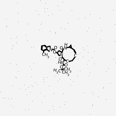 Cc1cccc2c1CN(C(=O)OC1CC3C(=O)NC4CC4/C=C\CCCCCC(NC(=O)OC(C)(C)C)C(=O)N3C1)C2